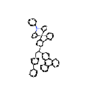 c1ccc(-c2ccc(CC(c3ccc4c(c3)-c3ccccc3C43c4ccccc4N(c4ccccc4)c4ccccc43)c3ccc4c5ccccc5c5ccccc5c4c3)cc2)cc1